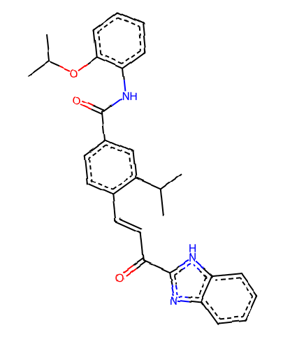 CC(C)Oc1ccccc1NC(=O)c1ccc(C=CC(=O)c2nc3ccccc3[nH]2)c(C(C)C)c1